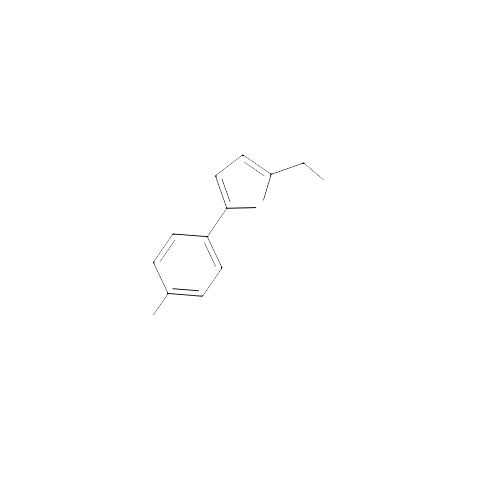 Fc1ccc(-c2ccc(CCl)s2)cc1